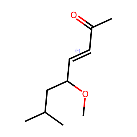 COC(/C=C/C(C)=O)CC(C)C